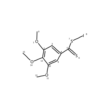 COc1cc(C(=S)SI)cc(OC)c1OC